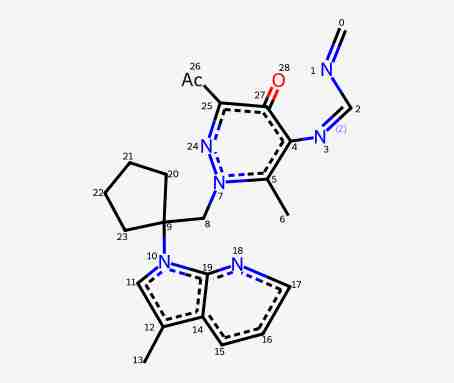 C=N/C=N\c1c(C)n(CC2(n3cc(C)c4cccnc43)CCCC2)nc(C(C)=O)c1=O